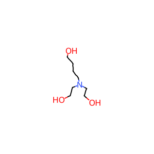 OCCCCN(CCO)CCO